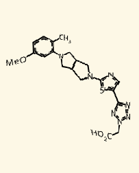 COc1ccc(C)c(N2CC3CN(c4ncc(-c5nnn(CC(=O)O)n5)s4)CC3C2)c1